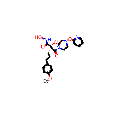 CCOc1ccc(CCC[C@@H](C(=O)N2CCN(Oc3ccccn3)CC2)[C@H](O)C(=O)NO)cc1